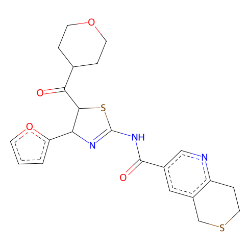 O=C(NC1=NC(c2ccco2)C(C(=O)C2CCOCC2)S1)c1cnc2c(c1)CSCC2